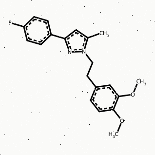 COc1ccc(CCn2nc(-c3ccc(F)cc3)cc2C)cc1OC